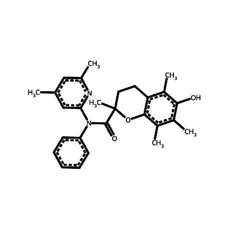 Cc1cc(C)nc(N(C(=O)C2(C)CCc3c(C)c(O)c(C)c(C)c3O2)c2ccccc2)c1